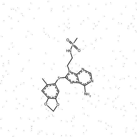 Cc1cc2c(cc1Sc1nc3c(N)ncnc3n1CCNS(C)(=O)=O)OCO2